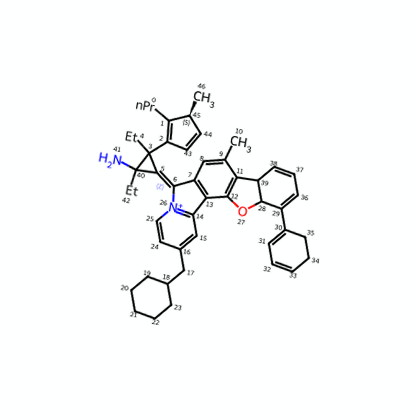 CCCC1=C(C2(CC)/C(=C3\c4cc(C)c5c(c4-c4cc(CC6CCCCC6)cc[n+]43)OC3C(C4=CC=CCC4)=CC=CC53)C2(N)CC)C=C[C@@H]1C